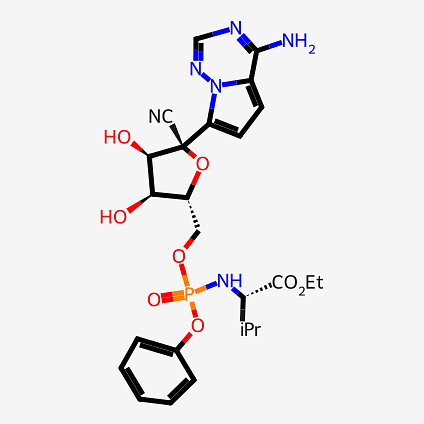 CCOC(=O)[C@@H](NP(=O)(OC[C@H]1O[C@@](C#N)(c2ccc3c(N)ncnn23)[C@H](O)[C@@H]1O)Oc1ccccc1)C(C)C